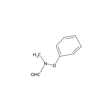 CN([C]=O)Oc1ccccc1